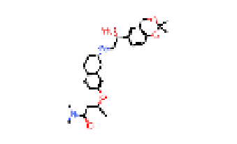 CC(CC(=O)N(C)C)Oc1ccc2c(c1)C[C@@H](NC[C@@H](O)c1ccc3c(c1)COC(C)(C)O3)CC2